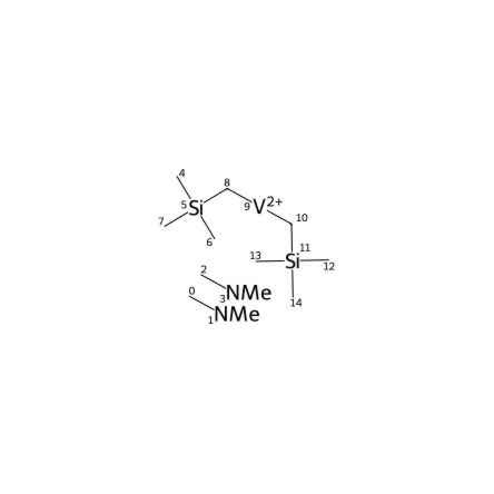 C[N-]C.C[N-]C.C[Si](C)(C)[CH2][V+2][CH2][Si](C)(C)C